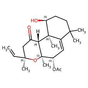 C=C[C@@]1(C)CC(=O)[C@H]2[C@](C)(O1)[C@@H](OC(C)=O)C=C1C(C)(C)CC[C@H](O)[C@@]12C